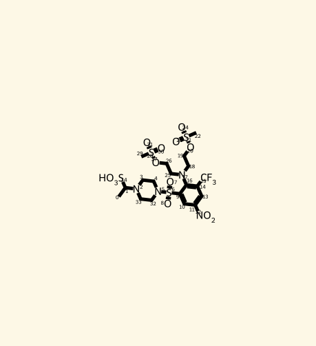 CC(N1CCN(S(=O)(=O)c2cc([N+](=O)[O-])cc(C(F)(F)F)c2N(CCOS(C)(=O)=O)CCOS(C)(=O)=O)CC1)S(=O)(=O)O